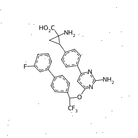 Nc1nc(OC(c2ccc(-c3cccc(F)c3)cc2)C(F)(F)F)cc(-c2ccc(C3CC3(N)C(=O)O)cc2)n1